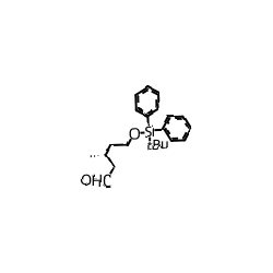 C[C@@H](CC=O)CCO[Si](c1ccccc1)(c1ccccc1)C(C)(C)C